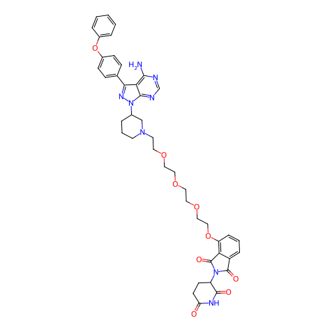 Nc1ncnc2c1c(-c1ccc(Oc3ccccc3)cc1)nn2C1CCCN(CCOCCOCCOCCOc2cccc3c2C(=O)N(C2CCC(=O)NC2=O)C3=O)C1